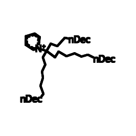 CCCCCCCCCCCCCCCCC(CCCCCCCCCCCCC)(CCCCCCCCCCCCCCCC)[n+]1ccccc1